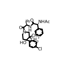 CC(=O)N[C@@H](C(=O)N[C@@H](C(=O)N1CC[C@](O)(c2ccc(Cl)cc2)C(C)(C)C1)C(C)C)c1ccccc1